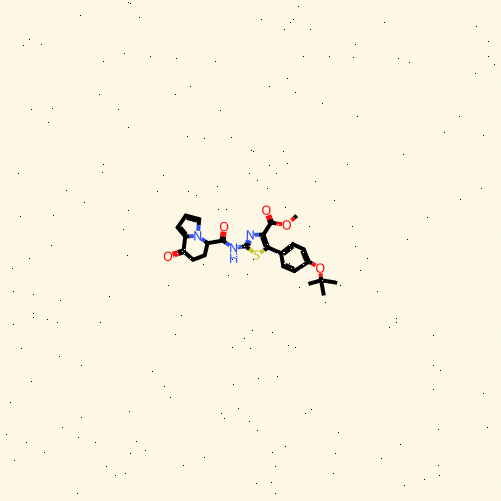 COC(=O)c1nc(NC(=O)C2CCC(=O)c3cccn32)sc1-c1ccc(OC(C)(C)C)cc1